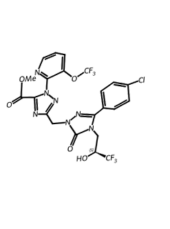 COC(=O)c1nc(Cn2nc(-c3ccc(Cl)cc3)n(C[C@H](O)C(F)(F)F)c2=O)nn1-c1ncccc1OC(F)(F)F